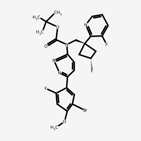 COc1cc(F)c(-c2ccc(N(C[C@]3(c4ncccc4F)C[C@@H](F)C3)C(=O)OC(C)(C)C)nn2)cc1Br